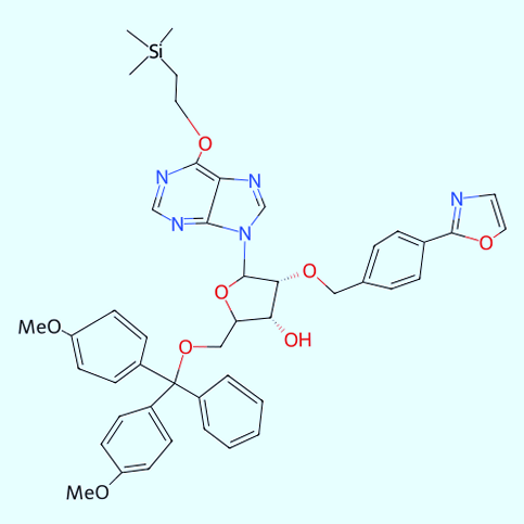 COc1ccc(C(OCC2OC(n3cnc4c(OCC[Si](C)(C)C)ncnc43)[C@H](OCc3ccc(-c4ncco4)cc3)[C@@H]2O)(c2ccccc2)c2ccc(OC)cc2)cc1